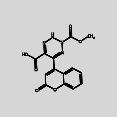 COC(=O)N1N=C(c2cc(=O)oc3ccccc23)C(C(=O)O)=NN1